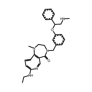 CCNC1=C/C=C/C2=C(/C=N\1)C(=O)N(Cc1cccc(OC(CNC)c3ccccc3)c1)CCN2C